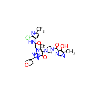 CCc1c(N2CCN(C(=O)c3ncnc(C)c3O)CC2)c(=O)n2nc(C3=CCOCC3)nc2n1CC(=O)Nc1ccc(C(F)(F)F)nc1Cl